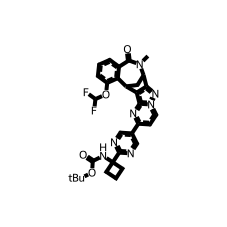 CN1C(=O)c2cccc(OC(F)F)c2C2CC1c1nn3ccc(-c4cnc(C5(NC(=O)OC(C)(C)C)CCC5)nc4)nc3c12